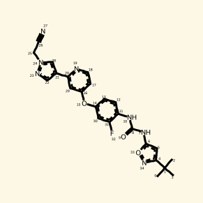 CC(C)(C)c1cc(NC(=O)Nc2ccc(Oc3ccnc(-c4cnn(CC#N)c4)c3)cc2F)on1